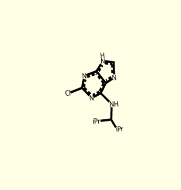 CC(C)C(Nc1nc(Cl)nc2[nH]cnc12)C(C)C